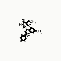 CCc1c(Oc2cc(C)cc(C)c2)n(CC=Cc2ccccc2)c(=O)[nH]c1=O